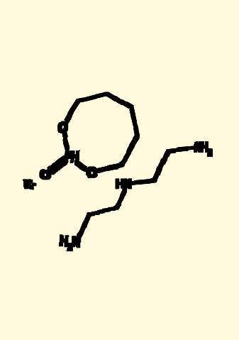 NCCNCCN.O=[PH]1OCCCCCO1.[K]